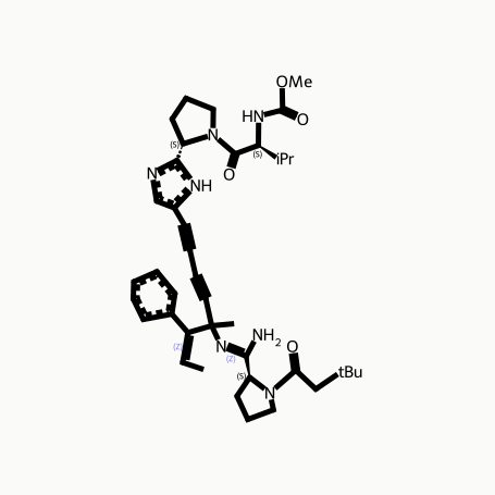 C/C=C(/c1ccccc1)C(C)(C#CC#Cc1cnc([C@@H]2CCCN2C(=O)[C@@H](NC(=O)OC)C(C)C)[nH]1)/N=C(\N)[C@@H]1CCCN1C(=O)CC(C)(C)C